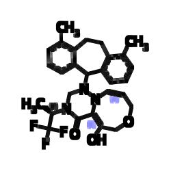 Cc1cccc2c1CCc1c(C)cccc1C2N1CN([C@H](C)C(F)(F)F)C(=O)/C2=C(\O)COC/C=C\N21